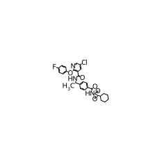 C[C@H](NC(=O)c1cc(Cl)cnc1Oc1ccc(F)cc1)c1ccc(C(=O)NS(=O)(=O)C2CCCCC2)cc1